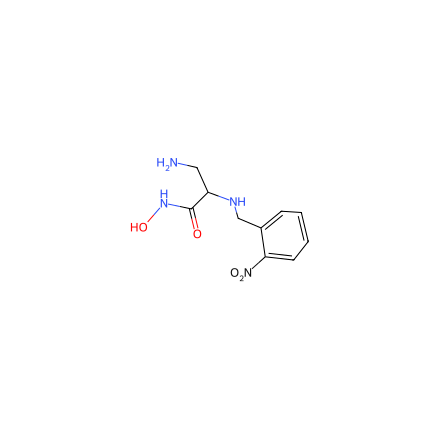 NCC(NCc1ccccc1[N+](=O)[O-])C(=O)NO